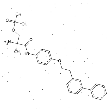 C[C@](N)(COP(=O)(O)O)C(=O)Nc1ccc(OCCc2cccc(-c3ccccc3)c2)cc1